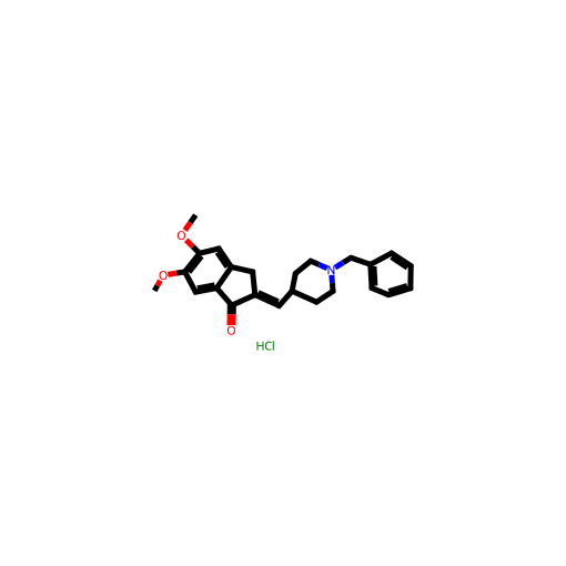 COc1cc2c(cc1OC)C(=O)/C(=C/C1CCN(Cc3ccccc3)CC1)C2.Cl